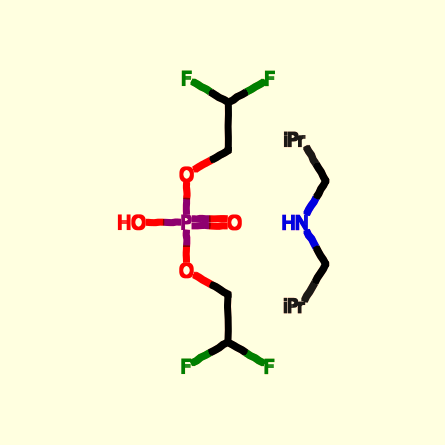 CC(C)CNCC(C)C.O=P(O)(OCC(F)F)OCC(F)F